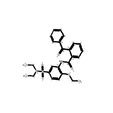 CCOc1ccc(S(=O)(=O)N(CC)CC)cc1NC(=O)c1ccccc1C(=O)c1ccccc1